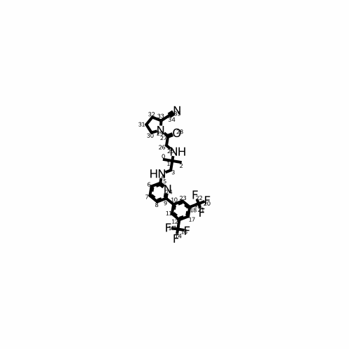 CC(C)(CNc1cccc(-c2cc(C(F)(F)F)cc(C(F)(F)F)c2)n1)NCC(=O)N1CCCC1C#N